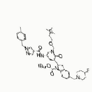 Cc1ccc(Cn2cc(C(=O)Nc3cc(-c4cc5cc(CN6CCC(F)CC6)ccc5n4C(=O)OC(C)(C)C)c(=O)n(COCC[Si](C)(C)C)c3)cn2)cc1